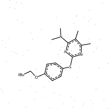 Cc1nc(Sc2ccc(OCC(C)(C)C)cc2)nc(N(C)C)c1C